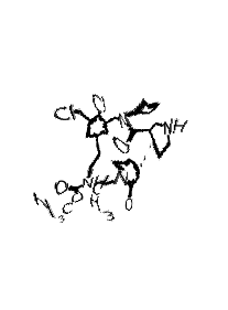 COC(=O)NCCc1cc(Cl)c(Cl)c(CN(C(=O)C2CNCC[C@@H]2c2ccn(C)c(=O)c2)C2CC2)c1